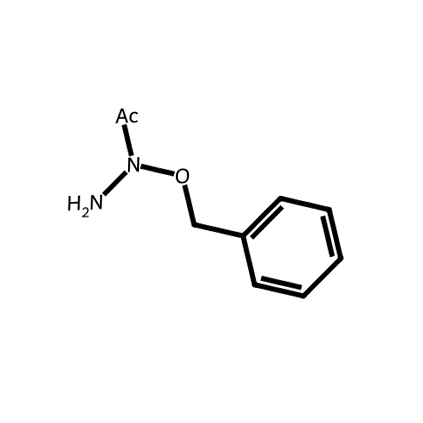 CC(=O)N(N)OCc1ccccc1